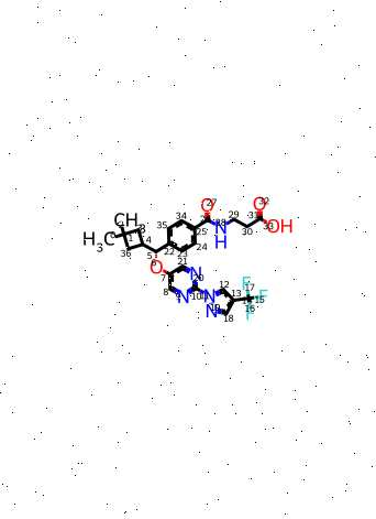 CC1(C)CC([C@@H](Oc2cnc(-n3cc(C(F)(F)F)cn3)nc2)c2ccc(C(=O)NCCC(=O)O)cc2)C1